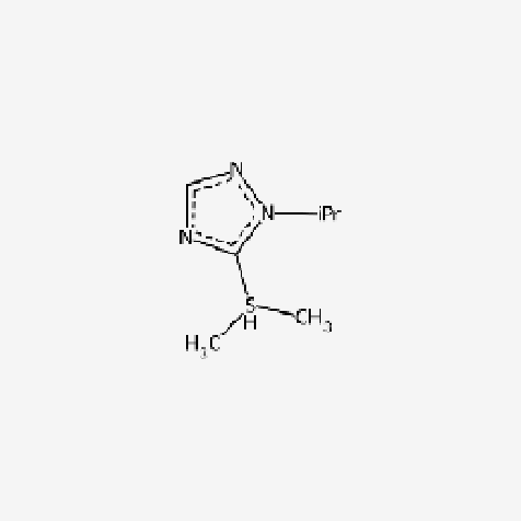 CC(C)n1ncnc1[SH](C)C